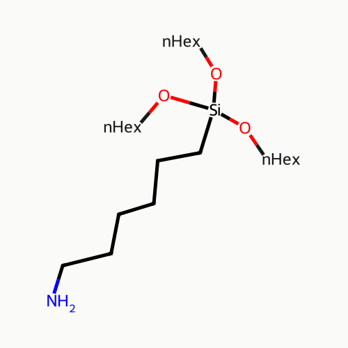 CCCCCCO[Si](CCCCCCN)(OCCCCCC)OCCCCCC